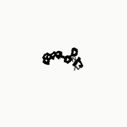 CC1CC=NC=C1n1c2ccccc2c2cc(-c3ccc4cc5c(cc4c3)-c3cccc4cccc-5c34)ccc21